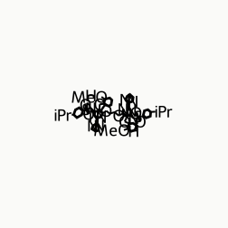 COc1ccccc1Oc1c(NS(=O)(=O)c2ccc(C(C)C)cc2)nc(-c2ncccn2)nc1OCCOc1nc(-c2ncccn2)nc(NS(=O)(=O)c2ccc(C(C)C)cc2)c1Oc1ccccc1OC